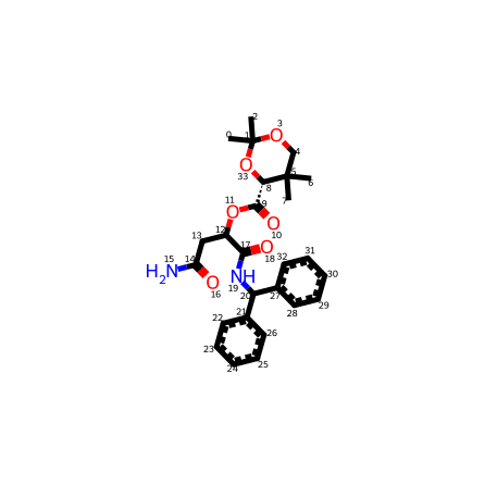 CC1(C)OCC(C)(C)[C@H](C(=O)OC(CC(N)=O)C(=O)NC(c2ccccc2)c2ccccc2)O1